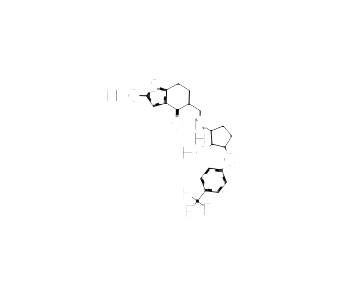 Cc1cc2c(s1)CCC(CNC1CCC(Oc3ccc(C(F)(F)F)cc3)C1O)C2=O